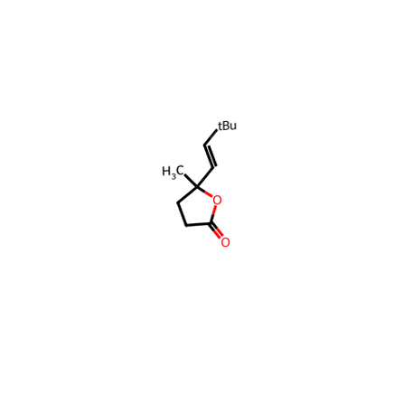 CC(C)(C)/C=C/C1(C)CCC(=O)O1